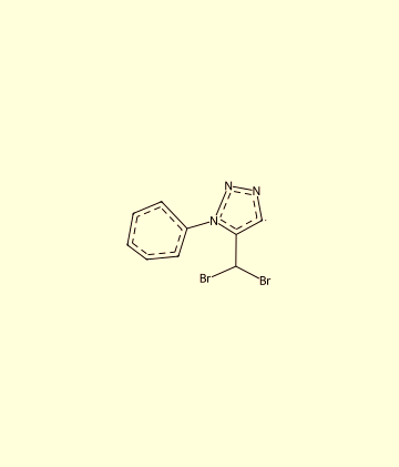 BrC(Br)c1[c]nnn1-c1ccccc1